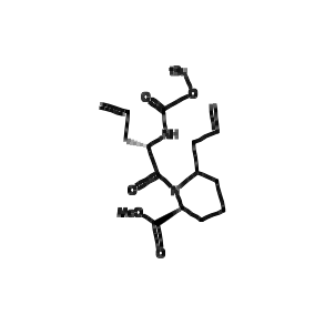 C=CCC1CCC[C@@H](C(=O)OC)N1C(=O)[C@H](CC=C)NC(=O)OC(C)(C)C